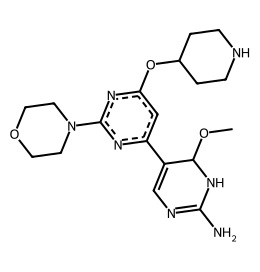 COC1NC(N)=NC=C1c1cc(OC2CCNCC2)nc(N2CCOCC2)n1